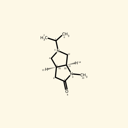 CC(C)N1C[C@@H]2CC(=O)N(C)[C@@H]2C1